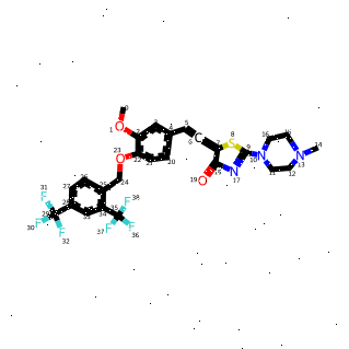 COc1cc(C=C=C2SC(N3CCN(C)CC3)=NC2=O)ccc1OCc1ccc(C(F)(F)F)cc1C(F)(F)F